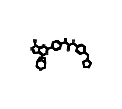 CCn1ncc2c(N3C4CCC3COC4)nc(-c3ccc(NC(=O)Nc4ccc(CN5CCCC5)cc4)cc3)nc21